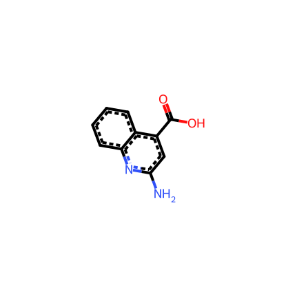 Nc1cc(C(=O)O)c2ccccc2n1